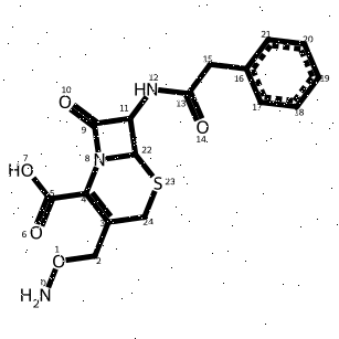 NOCC1=C(C(=O)O)N2C(=O)C(NC(=O)Cc3ccccc3)C2SC1